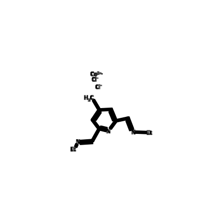 CCN=Cc1cc(C)cc(C=NCC)n1.[Cl-].[Cl-].[Co+2]